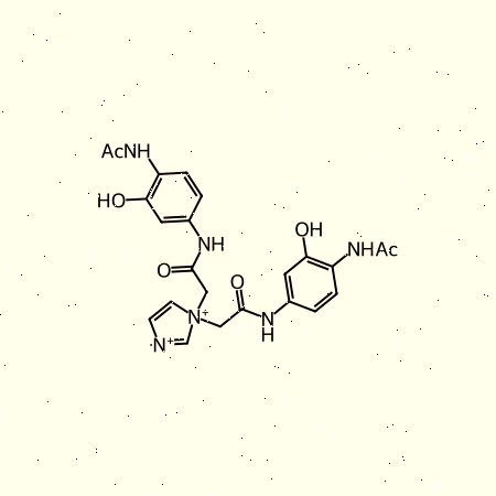 CC(=O)Nc1ccc(NC(=O)C[N+]2(CC(=O)Nc3ccc(NC(C)=O)c(O)c3)C=C[N+]=C2)cc1O